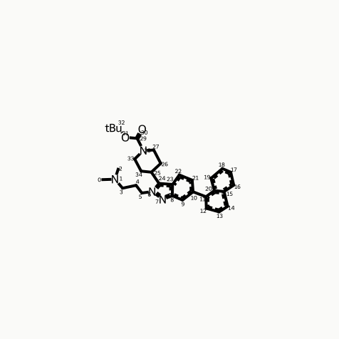 CN(C)CCCn1nc2cc(-c3cccc4ccccc34)ccc2c1C1CCN(C(=O)OC(C)(C)C)CC1